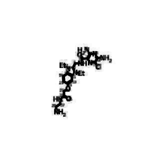 CCn1c(CNC(=O)c2nc(Cl)c(N)nc2N)[n+](CC)c2ccc(OCC(=O)NCCN)cc21